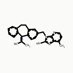 CCCc1nc2c(C)ccnc2n1Cc1ccc2c(c1)CCc1ccccc1/C2=C(/C)C#N